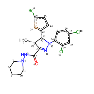 C[C@H]1C(C(=O)NN2CCCCC2)=NN(c2ccc(Cl)cc2Cl)[C@H]1c1ccc(Br)s1